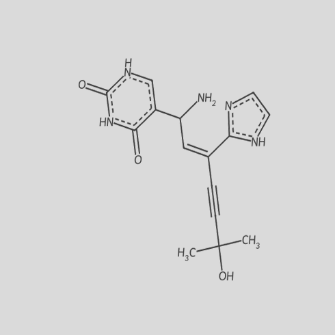 CC(C)(O)C#C/C(=C/C(N)c1c[nH]c(=O)[nH]c1=O)c1ncc[nH]1